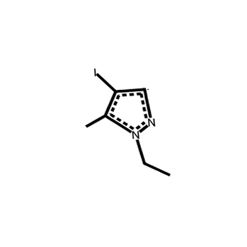 CCn1n[c]c(I)c1C